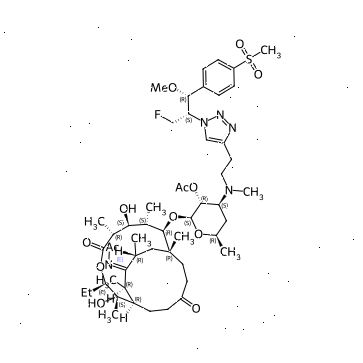 CC[C@H]1OC(=O)[C@H](C)[C@@H](O)[C@H](C)[C@@H](O[C@@H]2O[C@H](C)C[C@H](N(C)CCc3cn([C@H](CF)[C@H](OC)c4ccc(S(C)(=O)=O)cc4)nn3)[C@H]2OC(C)=O)[C@]2(C)CCC(=O)CC[C@H]([C@@H](C)/C(=N/C(C)=O)[C@H](C)C2)[C@]1(C)O